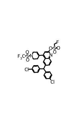 O=S(=O)(CF)Oc1cc(C2=CCN(S(=O)(=O)C(F)(F)F)CC2)c2cc(C(c3ccc(Cl)cc3)c3ccc(Cl)cc3)ccc2n1